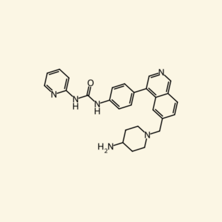 NC1CCN(Cc2ccc3cncc(-c4ccc(NC(=O)Nc5ccccn5)cc4)c3c2)CC1